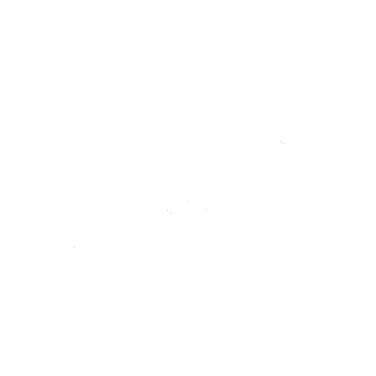 CC(C)(C)c1ccc(CNC(=O)NSCc2cccc(NS(C)(=O)=O)c2)cc1